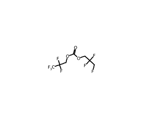 O=C(OCC(F)(F)CF)OCC(F)(F)C(F)(F)F